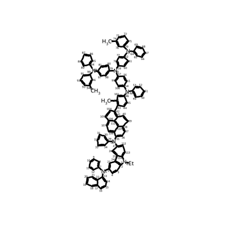 CCn1c2ccc(N(c3ccccc3)c3cccc4ccccc34)cc2c2cc(N(c3ccccc3)c3ccc4ccc5c(-c6ccc(N(c7ccccc7)c7ccc(N(c8ccc(N(c9ccccc9)c9cccc(C)c9)cc8)c8ccc(N(c9ccccc9)c9cccc(C)c9)cc8)cc7)cc6C)ccc6ccc3c4c65)ccc21